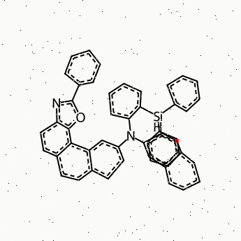 c1ccc(-c2nc3ccc4ccc5ccc(N(c6ccc7ccccc7c6)c6ccccc6[SiH](c6ccccc6)c6ccccc6)cc5c4c3o2)cc1